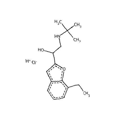 CCc1cccc2cc(C(O)CNC(C)(C)C)oc12.[Cl-].[H+]